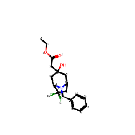 CCOC(=O)CC1(O)CC2CC(F)(F)C(C1)N2Cc1ccccc1